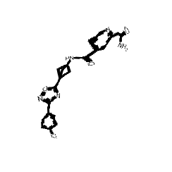 NC(=O)c1cc(C(=O)NC23CC(c4nc(-c5ccc(Cl)cc5)no4)(C2)C3)ccn1